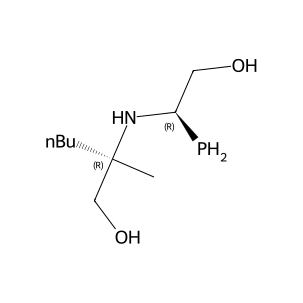 CCCC[C@](C)(CO)N[C@H](P)CO